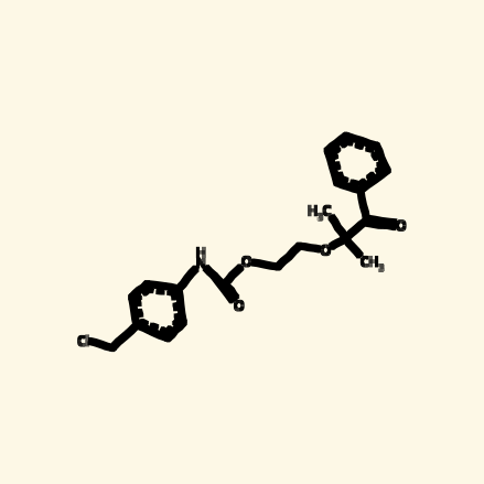 CC(C)(OCCOC(=O)Nc1ccc(CCl)cc1)C(=O)c1ccccc1